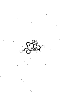 C=C(c1cccc(C(CCCl)C2(C)C=CC=CC2C(=O)O)c1)c1ccc2ccc(Cl)cc2n1